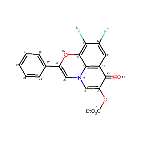 CCOC(=O)Oc1cn2c3c(c(F)c(F)cc3c1=O)OC(c1ccccc1)=C2